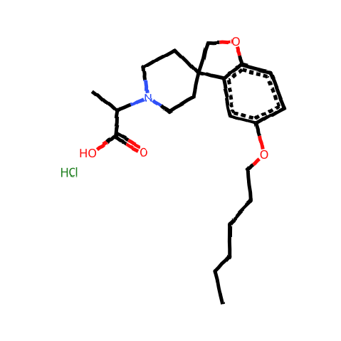 CCCCCCOc1ccc2c(c1)C1(CCN(C(C)C(=O)O)CC1)CO2.Cl